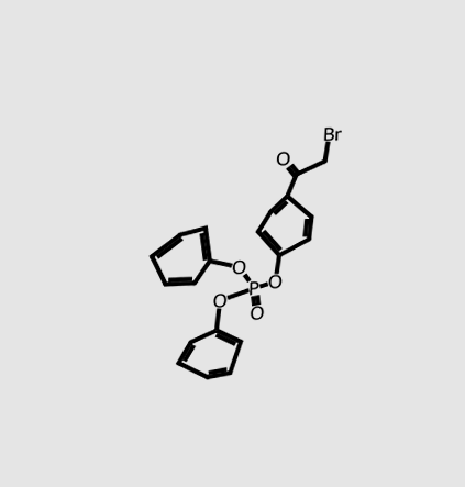 O=C(CBr)c1ccc(OP(=O)(Oc2ccccc2)Oc2ccccc2)cc1